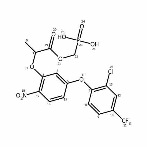 CC(Oc1cc(Oc2ccc(C(F)(F)F)cc2Cl)ccc1[N+](=O)[O-])C(=O)OCP(=O)(O)O